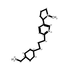 CN1CCCC1c1ccc(CCCC2CCC(CN)CC2)nc1